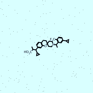 CC(C(=O)O)C(c1ccc2c(c1)OC1(CC2)CCN(C(C)c2cc(C3CC3)ccc2C(F)(F)F)CC1)C1CC1